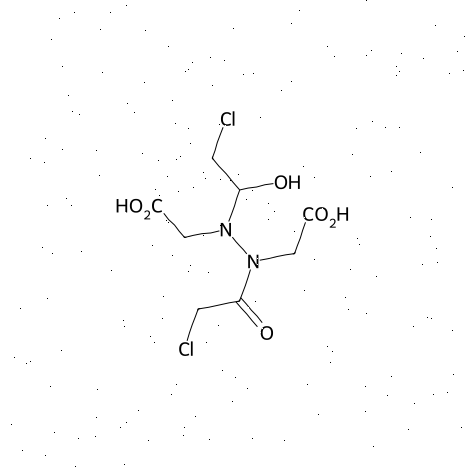 O=C(O)CN(C(=O)CCl)N(CC(=O)O)C(O)CCl